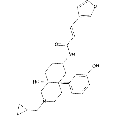 O=C(/C=C/c1ccoc1)N[C@H]1CC[C@]2(O)CN(CC3CC3)CC[C@@]2(c2cccc(O)c2)C1